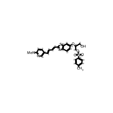 CNc1ccc(/C=C/C=C/c2nc3ccc(OC(CO)COS(=O)(=O)c4ccc(C)cc4)cc3s2)cn1